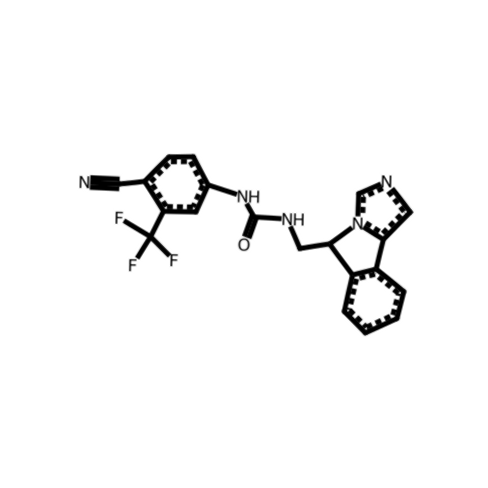 N#Cc1ccc(NC(=O)NCC2c3ccccc3-c3cncn32)cc1C(F)(F)F